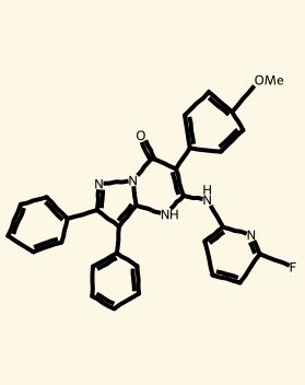 COc1ccc(-c2c(Nc3cccc(F)n3)[nH]c3c(-c4ccccc4)c(-c4ccccc4)nn3c2=O)cc1